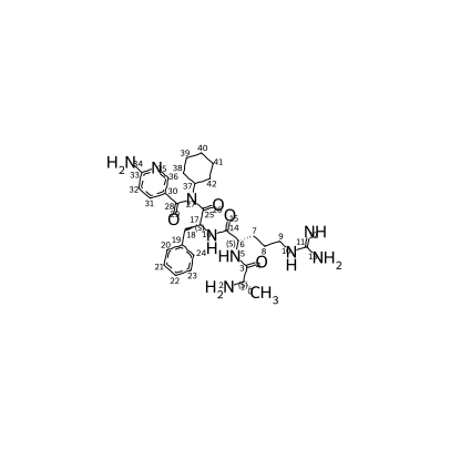 C[C@H](N)C(=O)N[C@@H](CCCNC(=N)N)C(=O)N[C@@H](Cc1ccccc1)C(=O)N(C(=O)c1ccc(N)nc1)C1CCCCC1